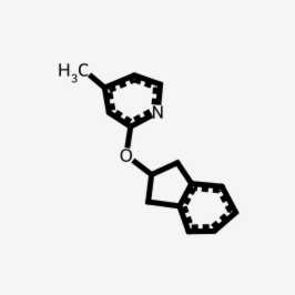 Cc1ccnc(OC2Cc3ccccc3C2)c1